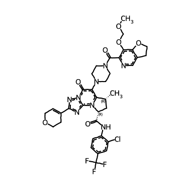 COCOc1c(C(=O)N2CCN(c3c4n(c5nc(C6=CCOCC6)nn5c3=O)[C@@H](C(=O)Nc3ccc(C(F)(F)F)cc3Cl)C[C@H]4C)CC2)ncc2c1OCC2